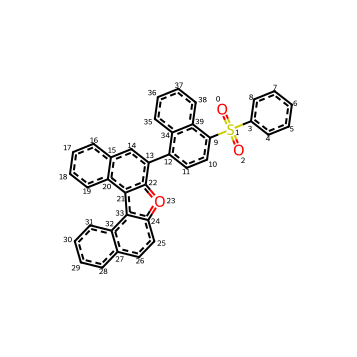 O=S(=O)(c1ccccc1)c1ccc(-c2cc3ccccc3c3c2oc2ccc4ccccc4c23)c2ccccc12